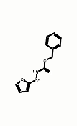 O=C(NNc1ccco1)OCc1ccccc1